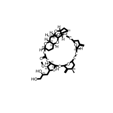 C=C1C2C[C@@H]3OC(C[C@H](O)CO)[C@H](OC)[C@H]3CC(=O)C[C@H]3CC[C@@H]4OC5[C@H]6O[C@@H]7C[C@](CCC8CC(=C)[C@H](CCC(C[C@H]1C)O2)O8)(O[C@H]6[C@H]4O3)O[C@H]57